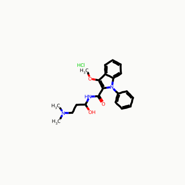 COc1c(C(=O)NC(O)CCN(C)C)n(-c2ccccc2)c2ccccc12.Cl